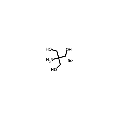 NC(CO)(CO)CO.[Sc]